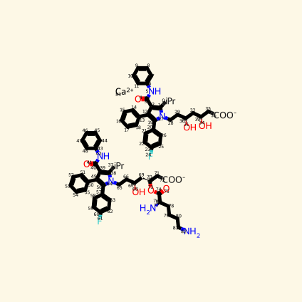 CC(C)c1c(C(=O)Nc2ccccc2)c(-c2ccccc2)c(-c2ccc(F)cc2)n1CC[C@@H](O)C[C@@H](O)CC(=O)[O-].CC(C)c1c(C(=O)Nc2ccccc2)c(-c2ccccc2)c(-c2ccc(F)cc2)n1CC[C@@H](O)C[C@H](CC(=O)[O-])OC(=O)[C@H](N)CCCCN.[Ca+2]